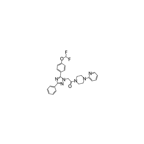 O=C(Cn1nc(-c2ccccc2)nc1-c1ccc(OC(F)F)cc1)N1CCN(c2ccccn2)CC1